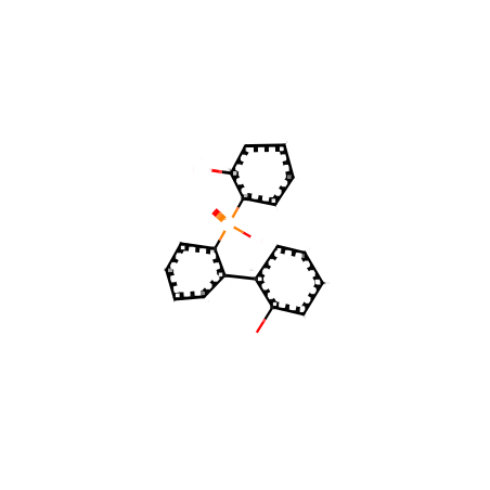 O=P(O)(c1ccccc1O)c1ccccc1-c1ccccc1O